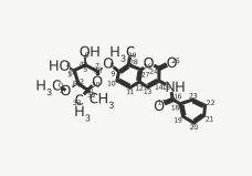 CO[C@@H]1[C@@H](O)[C@@H](O)[C@H](Oc2ccc3cc(NC(=O)c4ccccc4)c(=O)oc3c2C)OC1(C)C